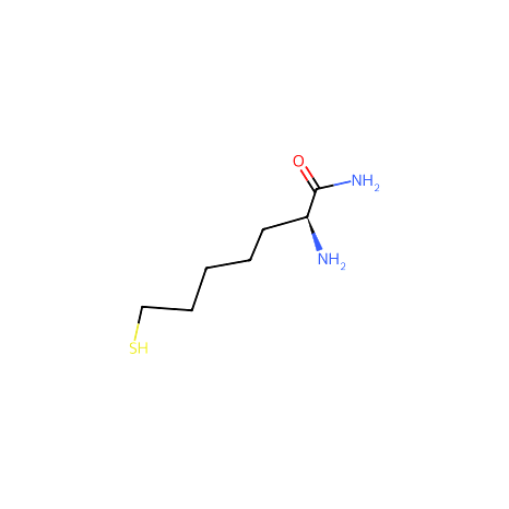 NC(=O)[C@@H](N)CCCCCS